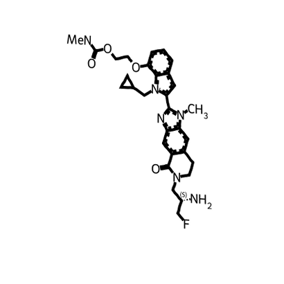 CNC(=O)OCCOc1cccc2cc(-c3nc4cc5c(cc4n3C)CCN(C[C@H](N)CF)C5=O)n(CC3CC3)c12